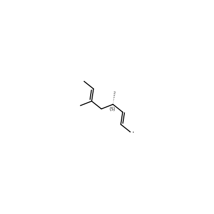 [CH2]C=C[C@@H](C)CC(C)=CC